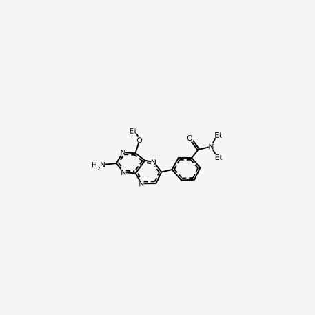 CCOc1nc(N)nc2ncc(-c3cccc(C(=O)N(CC)CC)c3)nc12